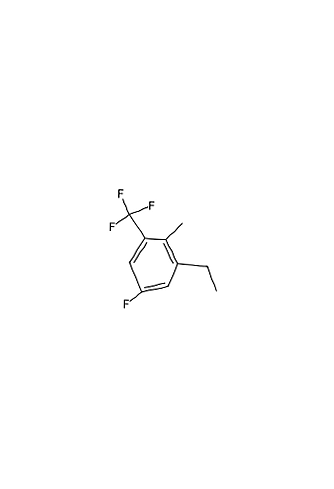 CCc1cc(F)cc(C(F)(F)F)c1C